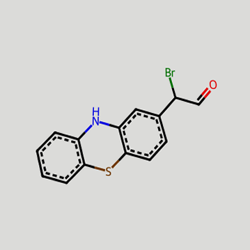 O=CC(Br)c1ccc2c(c1)Nc1ccccc1S2